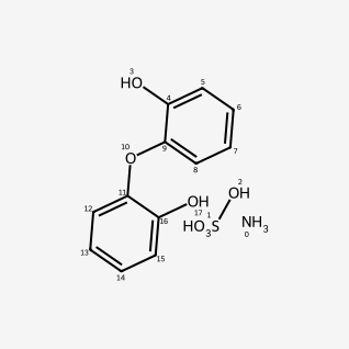 N.O=S(=O)(O)O.Oc1ccccc1Oc1ccccc1O